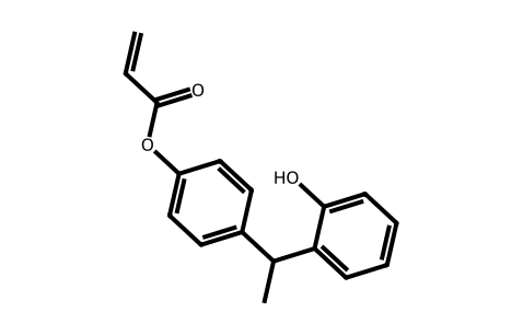 C=CC(=O)Oc1ccc(C(C)c2ccccc2O)cc1